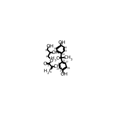 C=C(C)C(=O)OCC(O)CO.CC(C)(c1ccc(O)cc1)c1ccc(O)cc1